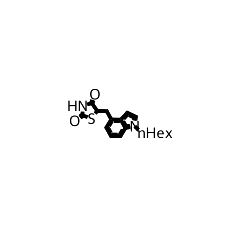 CCCCCCn1ccc2c(CC3SC(=O)NC3=O)cccc21